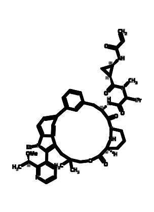 C=CC(=O)N[C@@H]1C[C@@H]1C(=O)N(C)C(C(=O)N[C@H]1Cc2cccc(c2)-c2ccc3c(c2)c(c(-c2cccnc2[C@H](C)OC)n3CC)CC(C)(C)COC(=O)[C@@H]2CCCN(N2)C1=O)C(C)C